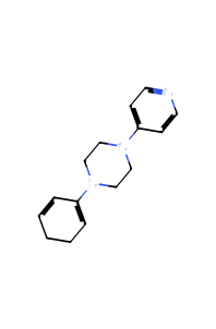 [CH]1C=CC(N2CCN(c3ccncc3)CC2)=CC1